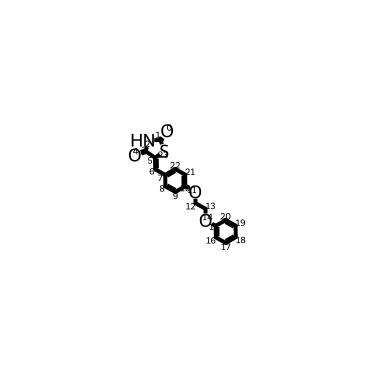 O=C1NC(=O)C(=Cc2ccc(OCCOc3ccccc3)cc2)S1